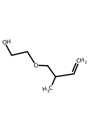 C=CC(C)COCCO